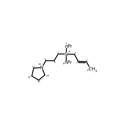 CC=CC[Si](CCC)(CCC)CCCN1CCCC1